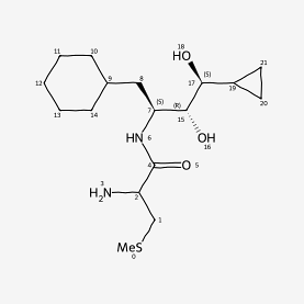 CSCC(N)C(=O)N[C@@H](CC1CCCCC1)[C@@H](O)[C@@H](O)C1CC1